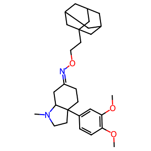 COc1ccc(C23CCC(=NOCCC45CC6CC(CC(C6)C4)C5)CC2N(C)CC3)cc1OC